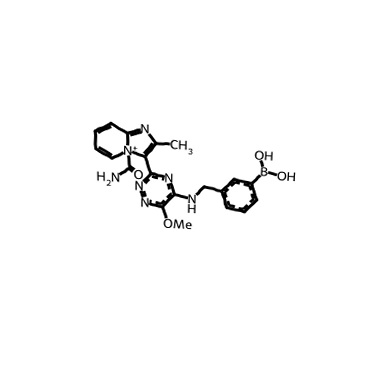 COc1nnc(C2=C(C)N=C3C=CC=C[N+]32C(N)=O)nc1NCc1cccc(B(O)O)c1